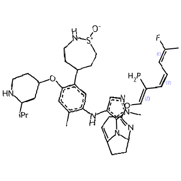 C\C(F)=C/C=C\C(P)=C\OC1=NC2CCC(=CC1)N2c1c(Nc2cc(C3CCN[S+]([O-])CC3)c(OC3CCNC(C(C)C)C3)cc2C)cnn1C